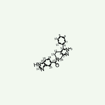 Cn1nc2c(c1-c1ccccc1)CCN(C(=O)c1ccc3[nH]cnc3c1)C2